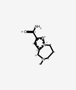 CN1CCCn2nc(C(N)=O)cc2C1